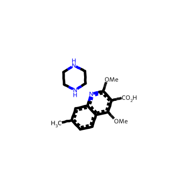 C1CNCCN1.COc1nc2cc(C)ccc2c(OC)c1C(=O)O